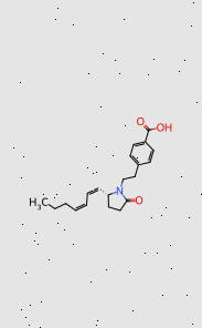 CCC/C=C\C=C/[C@H]1CCC(=O)N1CCc1ccc(C(=O)O)cc1